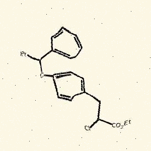 CCOC(=O)C(Cl)Cc1ccc(OC(c2ccccc2)C(C)C)cc1